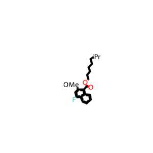 COc1cc(F)c2ccccc2c1C(=O)OCCCCCCC(C)C